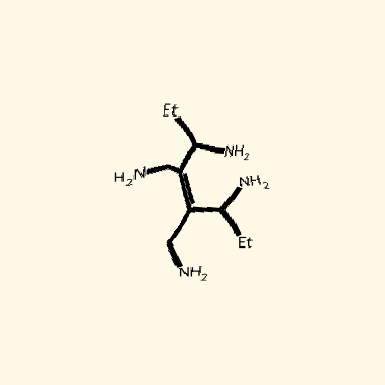 CCC(N)C(N)=C(CN)C(N)CC